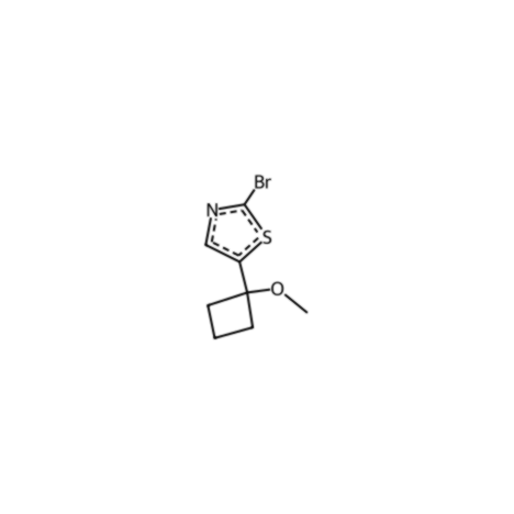 COC1(c2cnc(Br)s2)CCC1